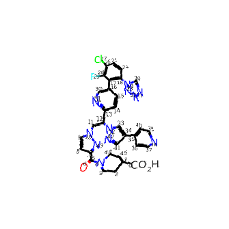 O=C(O)C1CCN(C(=O)c2ccn(CC(c3ccc(-c4c(-n5cnnn5)ccc(Cl)c4F)cn3)n3cc(-c4ccncc4)cn3)n2)CC1